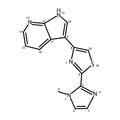 Cn1ccnc1-c1nc(-c2c[nH]c3ncccc23)cs1